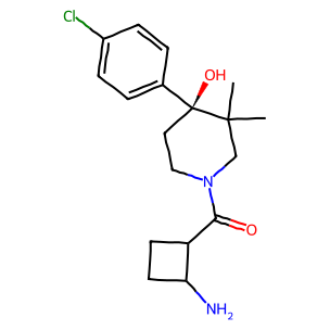 CC1(C)CN(C(=O)C2CCC2N)CC[C@]1(O)c1ccc(Cl)cc1